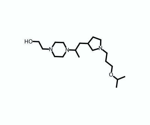 CC(C)OCCCN1CCC(CC(C)N2CCN(CCO)CC2)C1